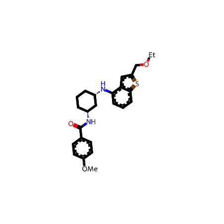 CCOCc1cc2c(N[C@H]3CCC[C@@H](NC(=O)c4ccc(OC)cc4)C3)cccc2s1